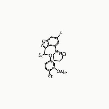 CCc1ccc(OC(CC)c2noc3cc(F)cc(N4CCCCC4)c23)cc1OC.Cl